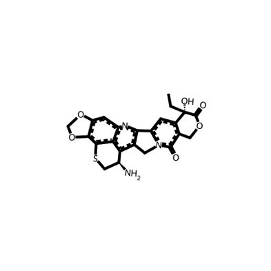 CC[C@@]1(O)C(=O)OCc2c1cc1n(c2=O)Cc2c-1nc1cc3c(c4c1c2[C@@H](N)CS4)OCO3